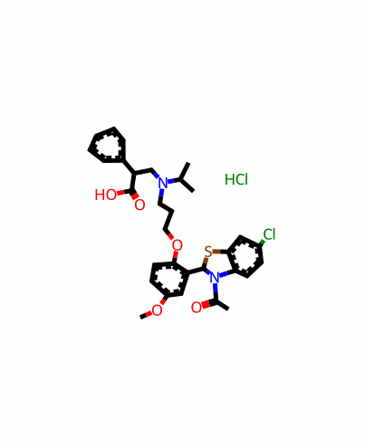 COc1ccc(OCCCN(CC(C(=O)O)c2ccccc2)C(C)C)c(C2Sc3cc(Cl)ccc3N2C(C)=O)c1.Cl